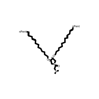 CCCCCC=CCC=CCCCCCCCCO[C@@H]1CN(C(=O)CN(C)C)C[C@H]1OCCCCCCCCC=CCC=CCCCCC